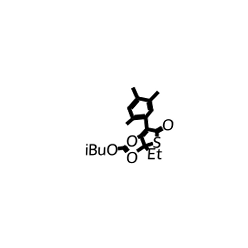 CCC1(C)SC(=O)C(c2cc(C)c(C)cc2C)=C1OC(=O)OCC(C)C